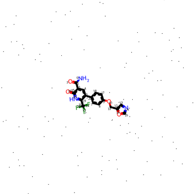 NC(=O)c1cc(-c2ccc(OCc3cnco3)cc2)c(C(F)(F)F)[nH]c1=O